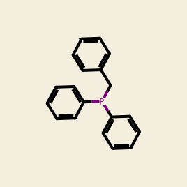 [c]1ccc(CP(c2ccccc2)c2ccccc2)cc1